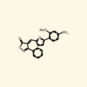 COc1cc([N+](=O)[O-])ccc1-c1ccc(/C=C2/C(=O)ON=C2c2ccccc2)o1